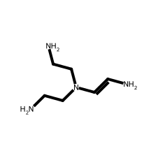 NC=CN(CCN)CCN